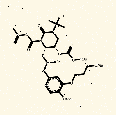 C=C(C)OC(=O)N1C(=O)C(C(C)(C)O)C[C@H](OC(=O)OC(C)(C)C)[C@@H]1C[C@H](Cc1ccc(OC)c(OCCCOC)c1)C(C)C